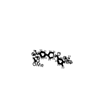 COC(=O)CS(=O)(=O)N(C)c1ccc(C2CCN(C(=O)c3ccc(C)c(NS(C)(=O)=O)c3)CC2)cc1